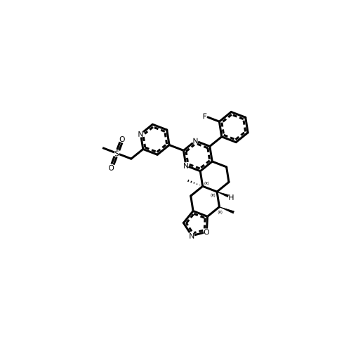 C[C@H]1c2oncc2C[C@@]2(C)c3nc(-c4ccnc(CS(C)(=O)=O)c4)nc(-c4ccccc4F)c3CC[C@H]12